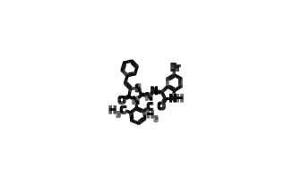 Cc1cccc(C)c1N1C(=O)C(=Cc2ccccc2)SC1=NN=C1C(=O)Nc2ccc(Br)cc21